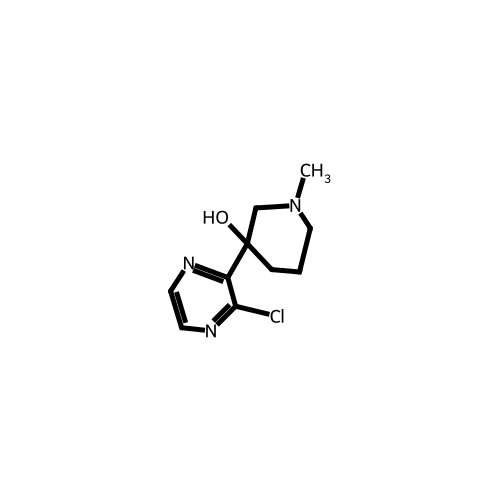 CN1CCCC(O)(c2nccnc2Cl)C1